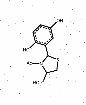 CC(=O)N1C(C(=O)O)CSC1c1cc(O)ccc1O